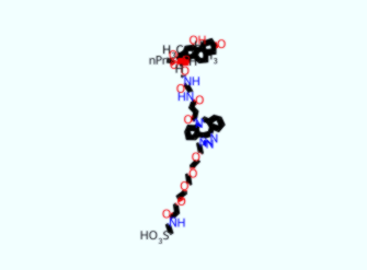 CCCC1O[C@@H]2C[C@H]3[C@@H]4CCC5=CC(=O)C=C[C@]5(C)[C@H]4[C@@H](O)C[C@]3(C)[C@]2(C(=O)COCNC(=O)CNC(=O)CCC(=O)N2Cc3ccccc3-c3nnn(CCOCCOCCOCCOCCC(=O)NCCS(=O)(=O)O)c3-c3ccccc32)O1